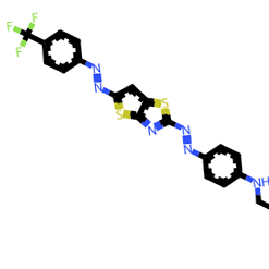 CCNc1ccc(N=Nc2nc3sc(N=Nc4ccc(C(F)(F)F)cc4)cc3s2)cc1